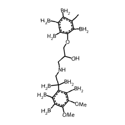 Bc1c(B)c(C)c(B)c(OCC(O)CNCC(B)(B)c2c(B)c(B)c(OC)c(OC)c2B)c1B